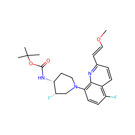 COC=Cc1ccc2c(F)ccc(N3CC[C@@H](NC(=O)OC(C)(C)C)[C@@H](F)C3)c2n1